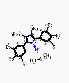 CCCCCC1=C(c2cc(CC)c(CC)c(CC)c2)[N+](=[N-])C(c2cc(CC)c(CC)c(CC)c2)=C1CCCC.[CH3][Ni][CH3]